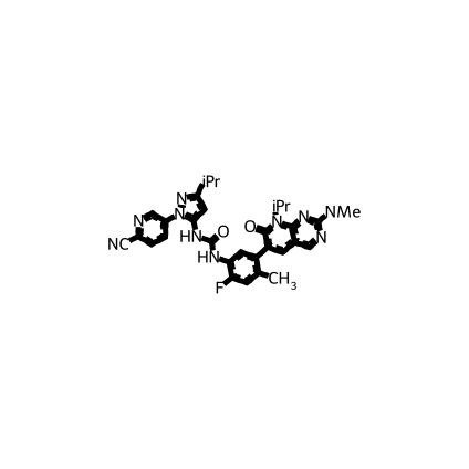 CNc1ncc2cc(-c3cc(NC(=O)Nc4cc(C(C)C)nn4-c4ccc(C#N)nc4)c(F)cc3C)c(=O)n(C(C)C)c2n1